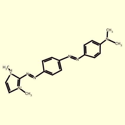 CN(C)c1ccc(N=Nc2ccc(N=NC3=[N+](C)C=C[SH]3C)cc2)cc1